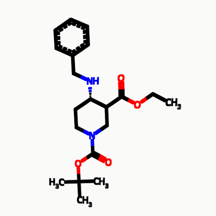 CCOC(=O)C1CN(C(=O)OC(C)(C)C)CC[C@@H]1NCc1ccccc1